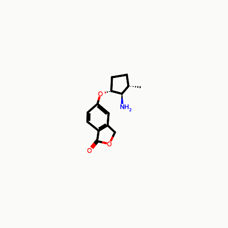 C[C@H]1CC[C@@H](Oc2ccc3c(c2)COC3=O)[C@@H]1N